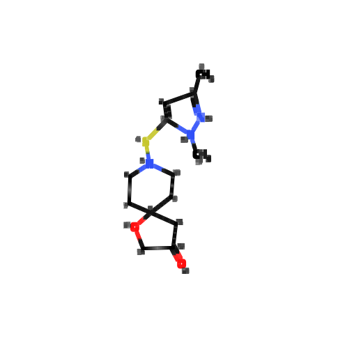 Cc1cc(SN2CCC3(CC2)CC(=O)CO3)n(C)n1